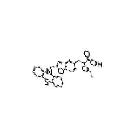 CCOC(Cc1ccc2oc(CN3c4ccccc4Sc4ccccc43)cc2c1)C(=O)O